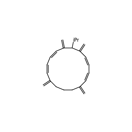 C=C1/C=C\C=C/C(=C)C(C(C)C)C(=C)/C=C\C=C/C(=C)CCC1